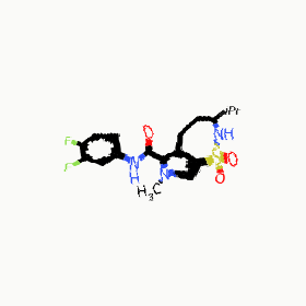 CC(C)C1CCc2c(cn(C)c2C(=O)Nc2ccc(F)c(F)c2)S(=O)(=O)N1